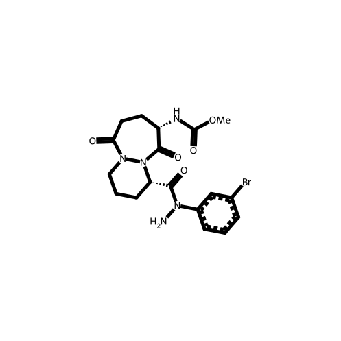 COC(=O)N[C@H]1CCC(=O)N2CCC[C@@H](C(=O)N(N)c3cccc(Br)c3)N2C1=O